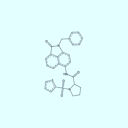 O=C(Nc1ccc2c3c(cccc13)C(=O)N2Cc1ccccc1)C1CCCN1S(=O)(=O)c1cccs1